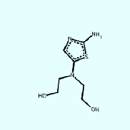 Nc1ncc(N(CCO)CCO)s1